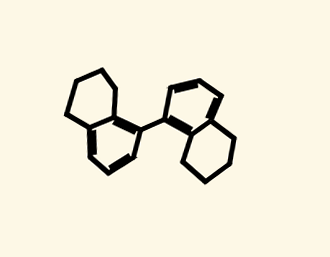 [c]1ccc2c(c1-c1[c]ccc3c1CCCC3)CCCC2